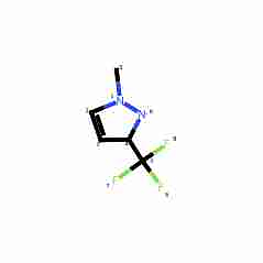 CN1C=CC(C(F)(F)F)[N]1